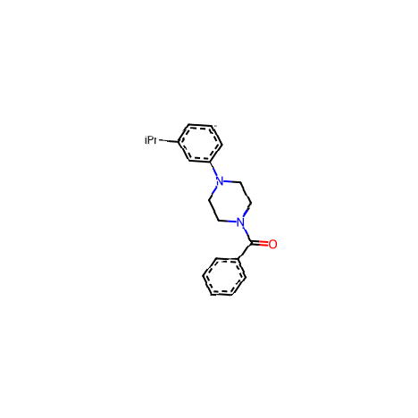 CC(C)c1c[c]cc(N2CCN(C(=O)c3ccccc3)CC2)c1